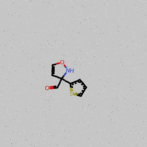 O=CC1(c2cccs2)C=CON1